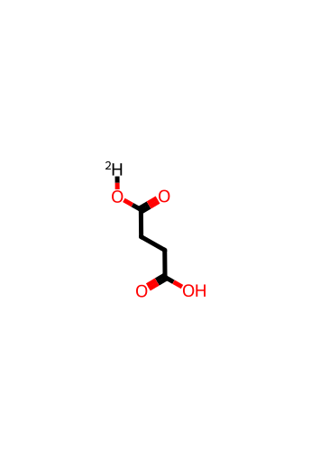 [2H]OC(=O)CCC(=O)O